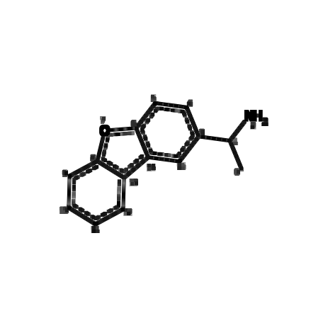 CC(N)c1ccc2oc3ccccc3c2c1